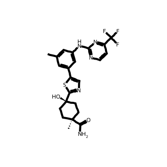 Cc1cc(Nc2nccc(C(F)(F)F)n2)cc(-c2cnc([C@]3(O)CC[C@@](C)(C(N)=O)CC3)s2)c1